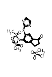 CS(=O)(=O)Cl.CS(=O)(=O)N(c1cc2c(cc1Sc1nccs1)C(=O)CC2)S(C)(=O)=O